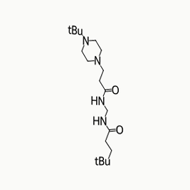 CC(C)(C)CCC(=O)NCNC(=O)CCN1CCN(C(C)(C)C)CC1